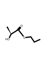 CCCOC(=O)[C@H](C)O